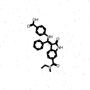 CCN(C)C(=O)c1ccc2c(c1)NC(=O)/C2=C(\Nc1ccc(C(=O)O)cc1)c1ccccc1